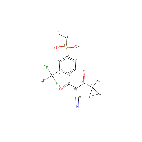 CCS(=O)(=O)c1ccc(C(=O)C(C#N)C(=O)C2(C)CC2)c(C(F)(F)F)c1